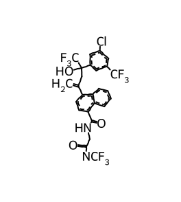 C=C(CC(O)(c1cc(Cl)cc(C(F)(F)F)c1)C(F)(F)F)c1ccc(C(=O)NCC(=O)NC(F)(F)F)c2ccccc12